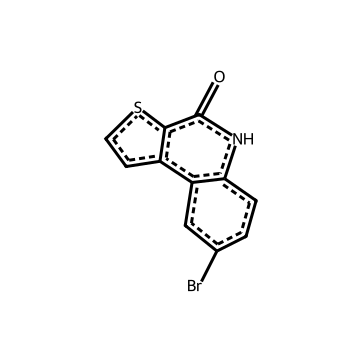 O=c1[nH]c2ccc(Br)cc2c2ccsc12